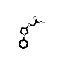 O=C(O)COC1CCN(c2ccccc2)C1